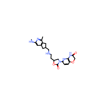 CNc1cc2c(c(C)n1)CC(CNCCC1CN(c3ccc4c(n3)NC(=O)CO4)C(=O)O1)C2